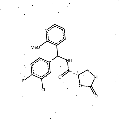 COc1ncccc1C(NC(=O)[C@@H]1CNC(=O)O1)c1ccc(F)c(Cl)c1